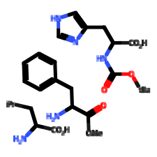 CC(C)(C)OC(=O)NC(Cc1c[nH]cn1)C(=O)O.CC(C)CC(N)C(=O)O.COC(=O)C(N)Cc1ccccc1